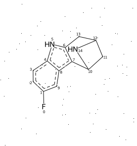 Fc1ccc2[nH]c3c(c2c1)C1CC(C3)N1